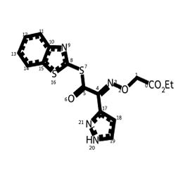 CCOC(=O)CON=C(C(=O)Sc1nc2ccccc2s1)c1cc[nH]n1